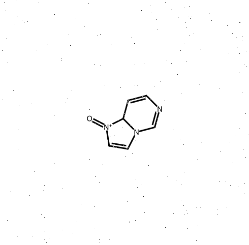 O=[N+]1C=CN2C=NC=CC21